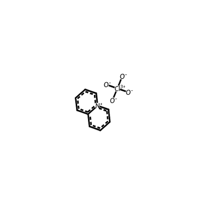 [O-][Cl+3]([O-])([O-])[O-].c1cc[n+]2ccccc2c1